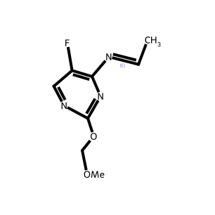 C/C=N/c1nc(OCOC)ncc1F